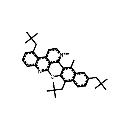 Cc1c2c(c(CC(C)(C)C)c3ccc(CC(C)(C)C)cc13)Oc1nc3cccc(CC(C)(C)C)c3c3cc[n+](C)c-2c13